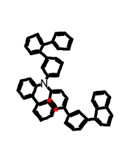 c1ccc(-c2ccccc2-c2cccc(N(c3ccc(-c4cccc(-c5cccc6ccccc56)c4)cc3)c3ccccc3-c3ccccc3)c2)cc1